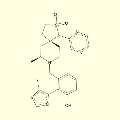 Cc1scnc1-c1c(O)cccc1CN1CC[C@]2(CCS(=O)(=O)N2c2cnccn2)C[C@@H]1C